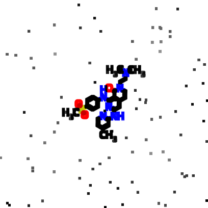 Cc1ccnc(Nc2cc3ccn(CCN(C)C)c(=O)c3c(Nc3ccc(S(C)(=O)=O)cc3)n2)c1